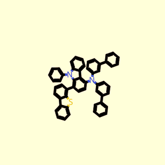 c1ccc(-c2cccc(N(c3cccc(-c4ccccc4)c3)c3ccc(-c4cccc5c4sc4ccccc45)c4c3c3ccccc3n4-c3ccccc3)c2)cc1